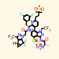 C[C@H](N)C(=O)N(c1nn(CC(F)(F)F)c2c(-c3ccc(CCC(C)(C)S(C)(=O)=O)nc3[C@H](Cc3cc(F)cc(F)c3)NC(=O)Cn3nc(C(F)(F)F)c4c3C(F)(F)C3C[C@H]43)ccc(Cl)c12)S(C)(=O)=O